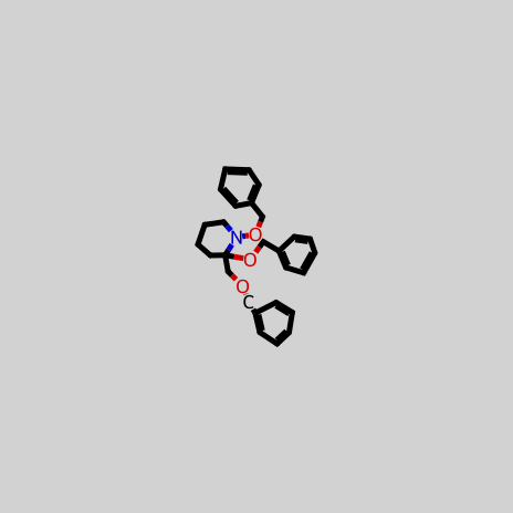 c1ccc(COCC2(OCc3ccccc3)CCCCN2OCc2ccccc2)cc1